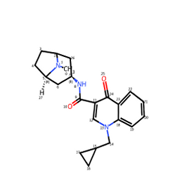 CN1C2CC[C@@H]1C[C@H](NC(=O)c1cn(CC3CC3)c3ccccc3c1=O)C2